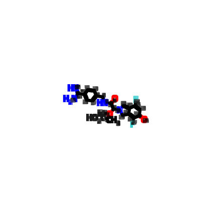 CC(=O)O.CCOC(C(=O)NCc1ccc(C(=N)N)cc1)N1C=C2C(F)=CC(=O)C(F)=C2C1